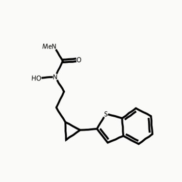 CNC(=O)N(O)CCC1CC1c1cc2ccccc2s1